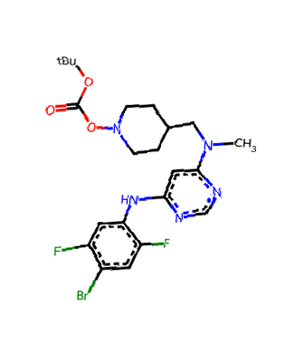 CN(CC1CCN(OC(=O)OC(C)(C)C)CC1)c1cc(Nc2cc(F)c(Br)cc2F)ncn1